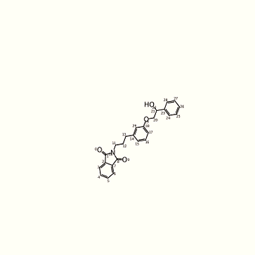 O=C1c2ccccc2C(=O)N1CCCc1cccc(OCC(O)c2ccccc2)c1